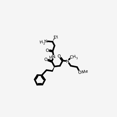 CC[C@@H](N)CC(=O)NC(=O)[C@H](CCc1ccccc1)CC(=O)N(C)CCOC